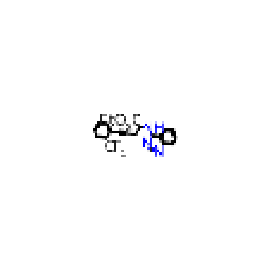 CCOC(=O)C(CC#Cc1ccccc1C(F)(F)F)Nc1ncnc2ccccc12